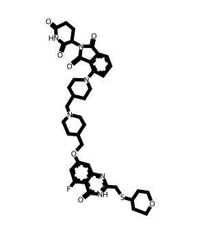 O=C1CCC(N2C(=O)c3cccc(N4CCC(CN5CCC(COc6cc(F)c7c(=O)[nH]c(CSC8CCOCC8)nc7c6)CC5)CC4)c3C2=O)C(=O)N1